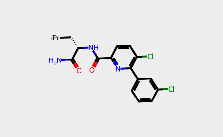 CC(C)C[C@H](NC(=O)c1ccc(Cl)c(-c2cccc(Cl)c2)n1)C(N)=O